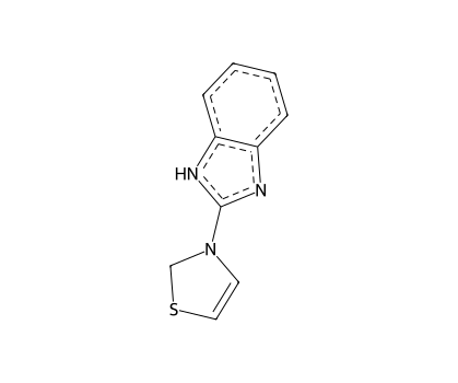 C1=CN(c2nc3ccccc3[nH]2)CS1